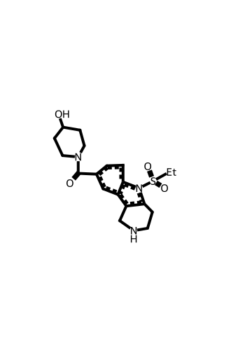 CCS(=O)(=O)n1c2c(c3cc(C(=O)N4CCC(O)CC4)ccc31)CNCC2